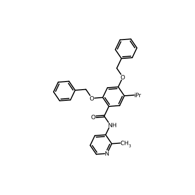 Cc1ncccc1NC(=O)c1cc(C(C)C)c(OCc2ccccc2)cc1OCc1ccccc1